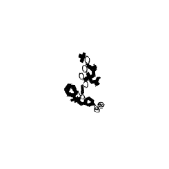 CC(C)CC(C)(CC(C)C(=O)OC(C)(C)C)C(=O)OCCN1c2ccccc2C(C)(C)C12C=Cc1cc([N+](=O)[O-])ccc1O2